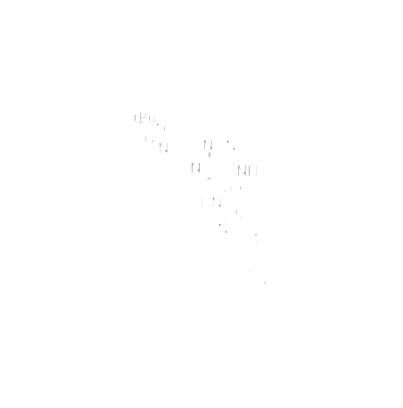 CC(C)(C)OC(=O)N1CC[C@@H](n2cc(C(=O)Nc3nc4cc(-c5ccccc5)ccc4o3)c3c(N)ncnc32)C1